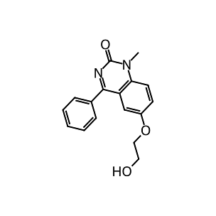 Cn1c(=O)nc(-c2ccccc2)c2cc(OCCO)ccc21